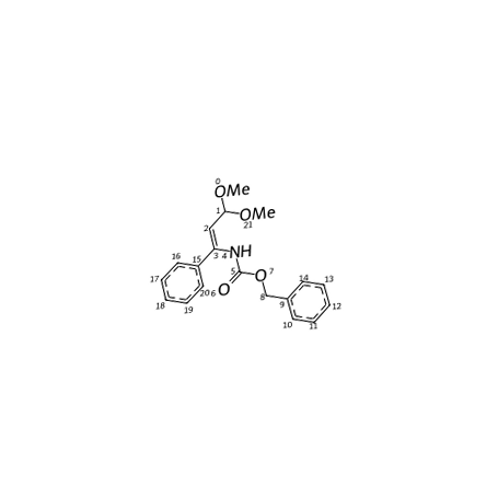 COC(/C=C(\NC(=O)OCc1ccccc1)c1ccccc1)OC